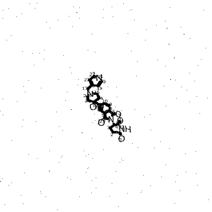 O=C1CCC(N2C(=O)c3ccc(C4(O)CCN(Cc5ccncc5)CC4)cc3C2=O)C(=O)N1